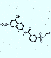 CN(C(=O)c1cccc(S(=O)(=O)CCCl)c1)c1ccc2c(O)cc(S(=O)(=O)O)cc2c1